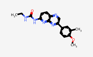 CCNC(=O)Nc1ccc2ncc(-c3ccc(OC)c(C)c3)nc2n1